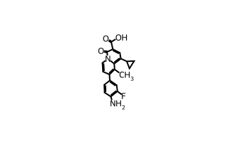 Cc1c(-c2ccc(N)c(F)c2)ccn2c(=O)c(C(=O)O)cc(C3CC3)c12